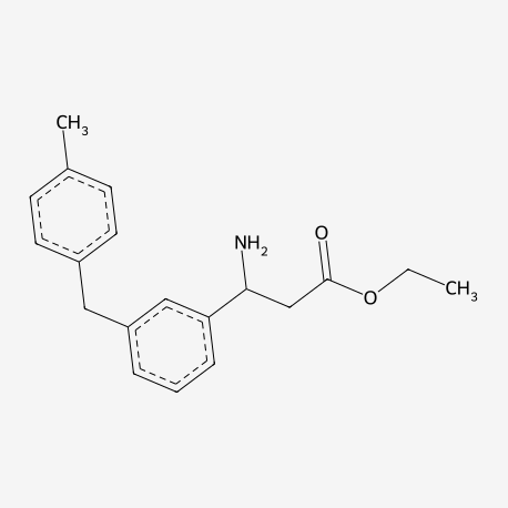 CCOC(=O)CC(N)c1cccc(Cc2ccc(C)cc2)c1